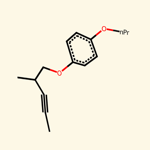 CC#CC(C)COc1ccc(OCCC)cc1